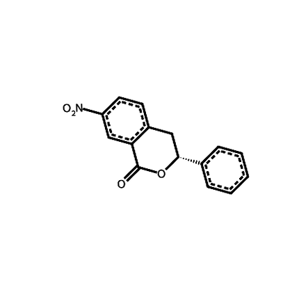 O=C1O[C@@H](c2ccccc2)Cc2ccc([N+](=O)[O-])cc21